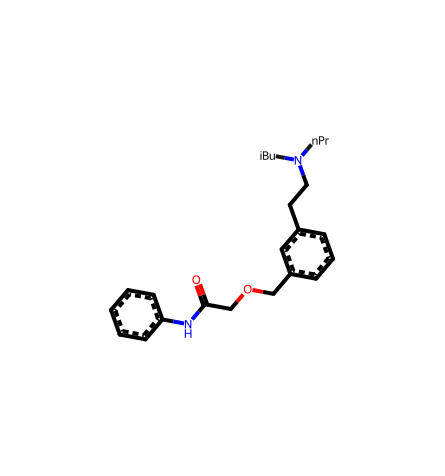 CCCN(CCc1cccc(COCC(=O)Nc2ccccc2)c1)C(C)CC